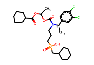 CC(OC(=O)C1CCCCC1)OC(=O)N(CCCP(=O)(O)CC1CCCCC1)[C@@H](C)c1ccc(Cl)c(Cl)c1